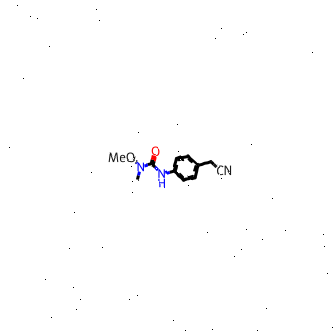 CON(C)C(=O)Nc1ccc(CC#N)cc1